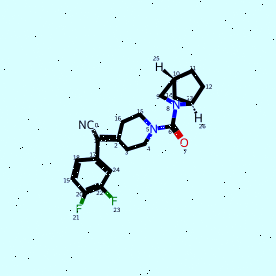 N#CC(=C1CCN(C(=O)N2C[C@@H]3CC[C@@H]2C3)CC1)c1ccc(F)c(F)c1